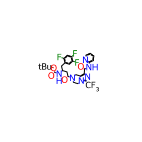 CC(C)(C)OC(=O)NC(CC(=O)N1CCn2c(C(F)(F)F)nc(C(=O)Nc3ccccn3)c2C1)Cc1cc(F)c(F)cc1F